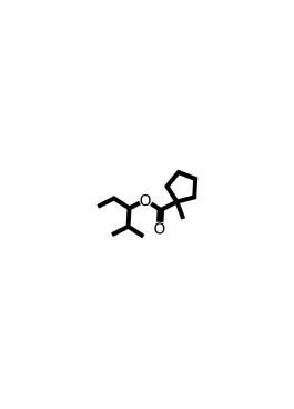 CCC(OC(=O)C1(C)CCCC1)C(C)C